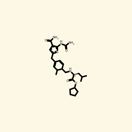 CC(C)C[C@H](NCC1C=CC(Cc2cc(C(N)=O)c(NC(N)=O)s2)=CC1C)C(=O)OC1CCCC1